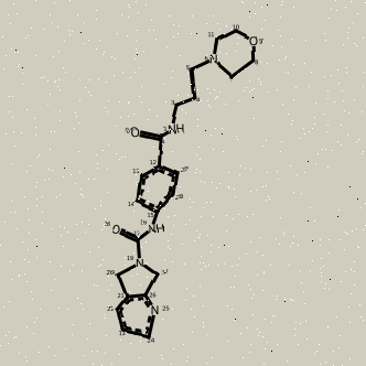 O=C(NCCCN1CCOCC1)c1ccc(NC(=O)N2Cc3cccnc3C2)cc1